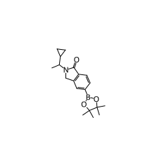 CC(C1CC1)N1Cc2cc(B3OC(C)(C)C(C)(C)O3)ccc2C1=O